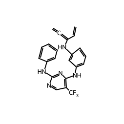 C=C=C(C=C)Nc1cccc(Nc2nc(Nc3ccccc3)ncc2C(F)(F)F)c1